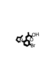 CC(=Cc1cc(Br)ccc1N1CCCC1C)C(=O)O